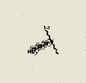 CCCCCCCCCCC[CH2][Na].O=S(=O)(O)O.O=S(=O)(O)O.O=S(=O)(O)O.P.P